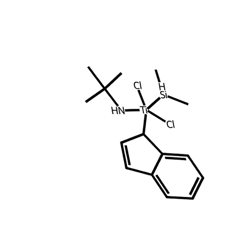 C[SiH](C)[Ti]([Cl])([Cl])([NH]C(C)(C)C)[CH]1C=Cc2ccccc21